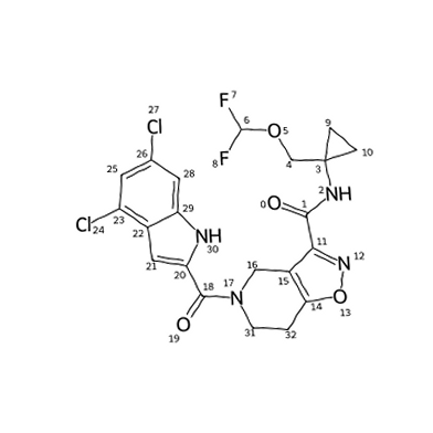 O=C(NC1(COC(F)F)CC1)c1noc2c1CN(C(=O)c1cc3c(Cl)cc(Cl)cc3[nH]1)CC2